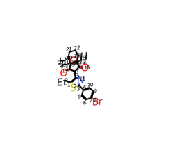 CCc1sc(-c2ccc(Br)cc2)nc1C1C(=O)[C@@H]2[C@H](C1=O)[C@H]1CC[C@@H]2O1